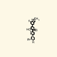 CC(C)[C@H]1CN(c2ccc(-c3ncc(-c4cc(F)c5nn(C)cc5c4)cc3O)nn2)CCN1.Cl.Cl